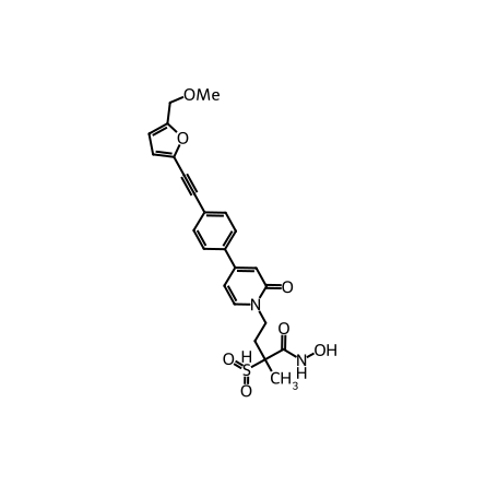 COCc1ccc(C#Cc2ccc(-c3ccn(CCC(C)(C(=O)NO)[SH](=O)=O)c(=O)c3)cc2)o1